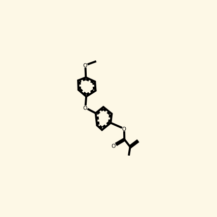 C=C(C)C(=O)Oc1ccc(Oc2ccc(OC)cc2)cc1